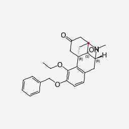 CCOc1c(OCc2ccccc2)ccc2c1[C@]13CCN(C)[C@H](C2)[C@]1(O)CCC(=O)C3